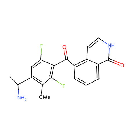 COc1c(C(C)N)cc(F)c(C(=O)c2cccc3c(=O)[nH]ccc23)c1F